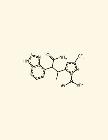 CCCN(CCC)n1nc(C(F)(F)F)cc1C(C)C(C(N)=O)c1cccc2[nH]nnc12